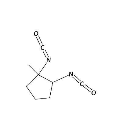 CC1(N=C=O)CCCC1N=C=O